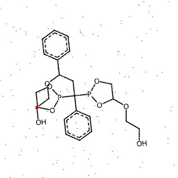 OCCOC1COP(C(CC(OCCO)c2ccccc2)(c2ccccc2)P2OCCO2)O1